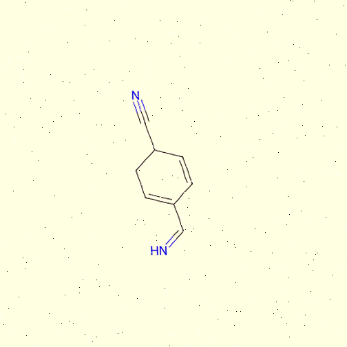 N#CC1C=CC(C=N)=CC1